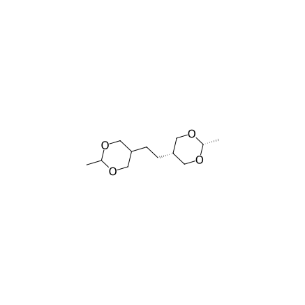 CC1OCC(CC[C@H]2CO[C@@H](C)OC2)CO1